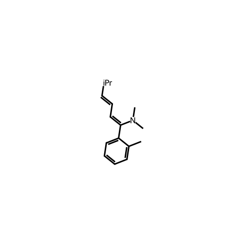 Cc1ccccc1/C(=C/C=C/C(C)C)N(C)C